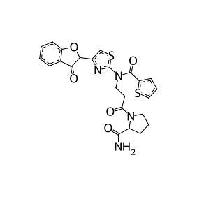 NC(=O)C1CCCN1C(=O)CCN(C(=O)c1cccs1)c1nc(C2Oc3ccccc3C2=O)cs1